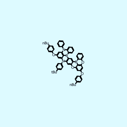 CCCCc1ccc(Oc2cc3c4c(c2)Oc2cc5c(cc2B4c2ccccc2O3)B2c3ccccc3N(c3ccccc3)c3cc(Oc4ccc(CCCC)cc4)cc(c32)N5c2ccc(C(C)(C)C)cc2)cc1